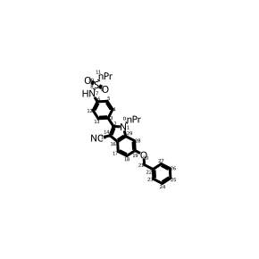 CCCn1c(-c2ccc(NS(=O)(=O)CCC)cc2)c(C#N)c2ccc(OCc3ccccc3)cc21